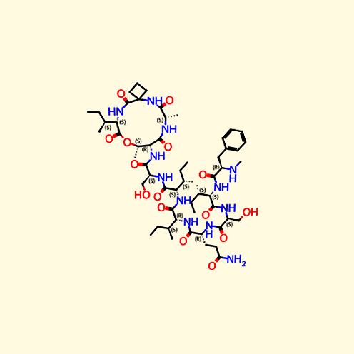 CC[C@H](C)[C@H](NC(=O)[C@@H](Cc1ccccc1)NC)C(=O)N[C@@H](CO)C(=O)N[C@H](CCC(N)=O)C(=O)N[C@@H](C(=O)N[C@H](C(=O)N[C@@H](CO)C(=O)N[C@H]1C(=O)N[C@@H](C)C(=O)NC2(CCC2)C(=O)N[C@@H]([C@@H](C)CC)C(=O)O[C@H]1C)[C@@H](C)CC)[C@@H](C)CC